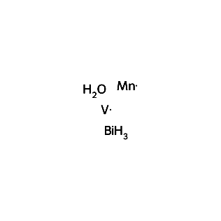 O.[BiH3].[Mn].[V]